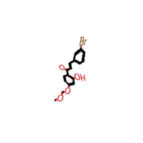 COCOc1ccc(C(=O)C=Cc2cccc(Br)c2)c(O)c1